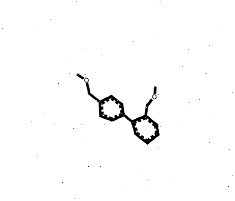 COCc1ccc(-c2ccccc2COC)cc1